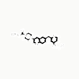 CC(C)(C)OC(=O)N1CCN(c2cnc3ccc(Cc4cc(C(=O)O)ccn4)cc3c2)CC1